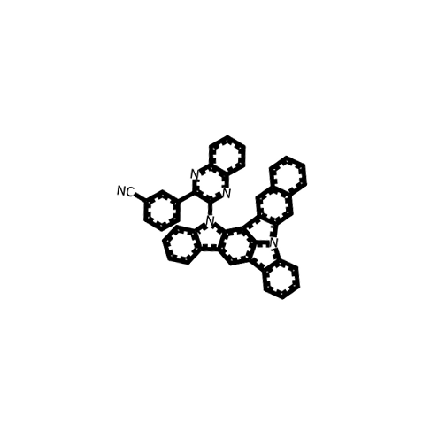 N#Cc1cccc(-c2nc3ccccc3nc2-n2c3ccccc3c3cc4c5ccccc5n5c6cc7ccccc7cc6c(c32)c45)c1